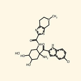 CN1CCc2nc(C(=O)NC3CC(O)C(O)CC3(N)C(=O)c3cc4cc(Cl)ccc4[nH]3)sc2C1.Cl